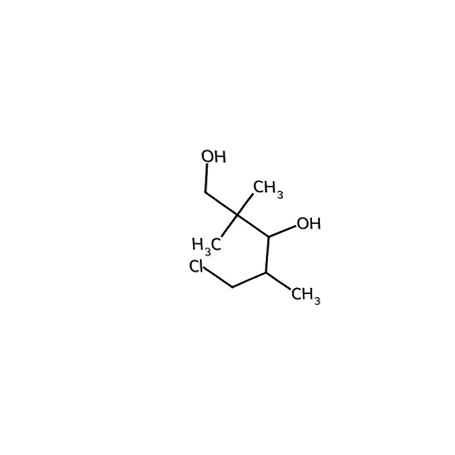 CC(CCl)C(O)C(C)(C)CO